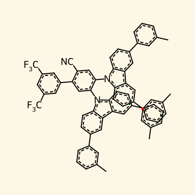 Cc1cccc(-c2ccc3c(c2)c2cc(-c4cccc(C)c4)ccc2n3-c2cc(C#N)c(-c3cc(C(F)(F)F)cc(C(F)(F)F)c3)cc2-n2c3ccc(-c4cccc(C)c4)cc3c3cc(-c4cccc(C)c4)ccc32)c1